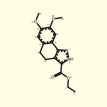 CCOC(=O)c1[nH]nc2c1CCc1cc(OC)c(OC)cc1-2